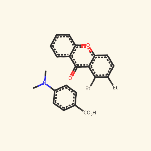 CCc1ccc2oc3ccccc3c(=O)c2c1CC.CN(C)c1ccc(C(=O)O)cc1